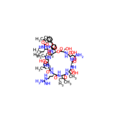 CC[C@H](C)[C@@H]1NC(=O)[C@@H](CCCNC(=N)N)NC(=O)[C@H](CC(C)C)NC(=O)[C@H]([C@H](O)C(C)C)NC(=O)[C@@H](NC(=O)[C@H](CC2CCCCC2)NC(=O)[C@@H](CC(C)C)NC(=O)OC(C)(C)C)[C@@H](c2ccccc2)OC(=O)[C@H](CO)NC(=O)[C@H]([C@H](O)C(N)=O)NC(=O)CNC(=O)[C@H]([C@H](C)O)NC1=O